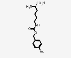 CC(=O)c1ccc(COC(=O)NCCCC[C@H](N)C(=O)O)cc1